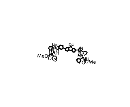 COC(=O)N[C@H](C(=O)N1C2CC[C@@H](C2)[C@H]1c1nc2ccc(-c3ccc4c(c3)C(F)(F)c3cc(-c5cnc(C6CCCN6C(=O)[C@H](NC(=O)OC)c6ccccc6)[nH]5)ccc3-4)cc2[nH]1)C1CCOCC1